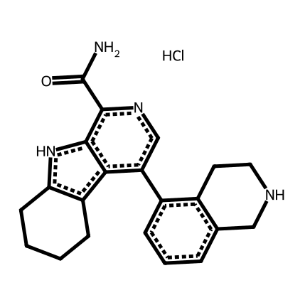 Cl.NC(=O)c1ncc(-c2cccc3c2CCNC3)c2c3c([nH]c12)CCCC3